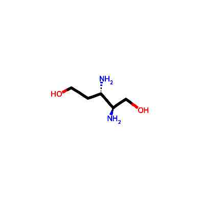 N[C@H](CO)[C@@H](N)CCO